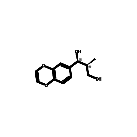 C[C@H](CO)[C@H](O)c1ccc2c(c1)OC=CO2